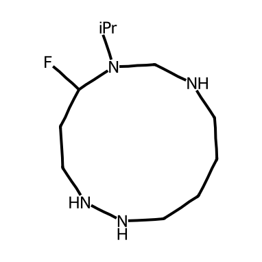 CC(C)N1CNCCCCNNCCC1F